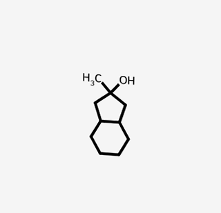 CC1(O)CC2CCCCC2C1